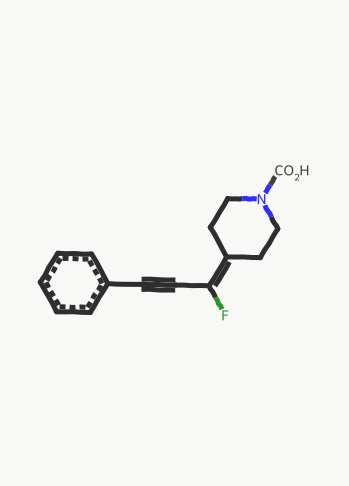 O=C(O)N1CCC(=C(F)C#Cc2ccccc2)CC1